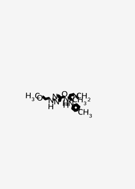 C=N/C=C\C(NC(=O)c1cnc(NCCCOC)nc1)=C(/C)Nc1ccc(C)cc1